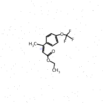 CCOC(=O)/C=C(/C)c1ccc(OC(F)(F)F)cc1